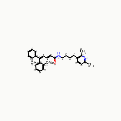 COc1ccccc1C(=CC=CC(=O)NCCCCc1ccc(C)nc1C)c1ccccc1OC